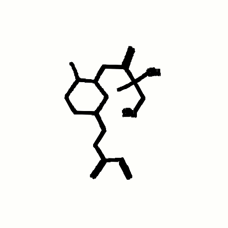 C=CC(=C)CCC1CCC(C)C(CC(=C)C(C)(CC(C)(C)C)C(C)(C)C)C1